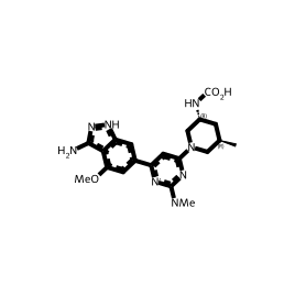 CNc1nc(-c2cc(OC)c3c(N)n[nH]c3c2)cc(N2C[C@H](C)C[C@@H](NC(=O)O)C2)n1